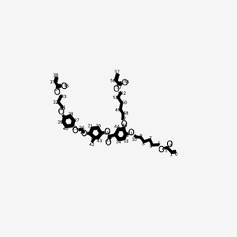 C=CC(=O)OCCCCCCOc1ccc(C(=O)Oc2ccc(OCOc3ccc(OCCCOC(=O)C=C)cc3)c(C)c2)cc1OCCCCCCOC(=O)C=C